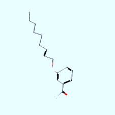 CCCCCCC=CCOc1cccc(C(N)=O)c1